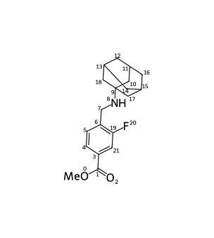 COC(=O)c1ccc(CNC23CC4CC(CC(C4)C2)C3)c(F)c1